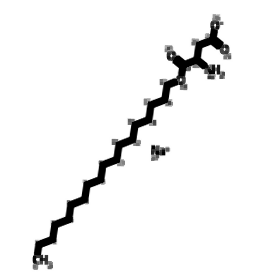 CCCCCCCCCCCCCCCCCCOC(=O)C(N)CC(=O)[O-].[Na+]